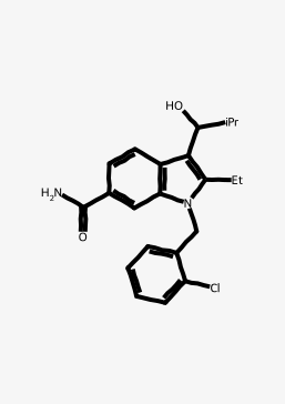 CCc1c(C(O)C(C)C)c2ccc(C(N)=O)cc2n1Cc1ccccc1Cl